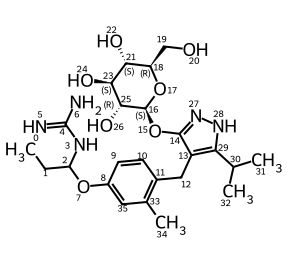 CCC(NC(=N)N)Oc1ccc(Cc2c(O[C@@H]3O[C@H](CO)[C@@H](O)[C@H](O)[C@H]3O)n[nH]c2C(C)C)c(C)c1